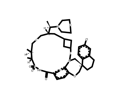 C[C@H]([C@H]1CCC[C@H](C)[C@@H](C)S(=O)(=O)NC(=O)c2ccc3c(c2)N(CC2CC(C2)C1)C[C@@]1(CCCc2cc(Cl)ccc21)CO3)N1CCOCC1